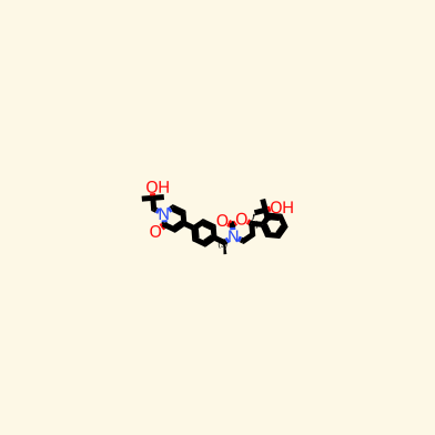 C[C@@H](c1ccc(-c2ccn(CC(C)(C)O)c(=O)c2)cc1)N1CC[C@](CC(C)(C)O)(c2ccccc2)OC1=O